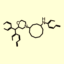 C=C/C=C\C(=C/C)NC1CCCCCCC(N2CCOC(C(C(/C=C\C)=C/C)C(/C=C\C=C)=C/C)C2)CC1